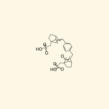 CC1(C)C2CCC1(CS(=O)(=O)O)C/C2=C\c1ccc(CC2C(=O)C3(CS(=O)(=O)O)CCC2C3(C)C)cc1